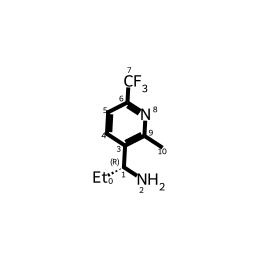 CC[C@@H](N)c1ccc(C(F)(F)F)nc1C